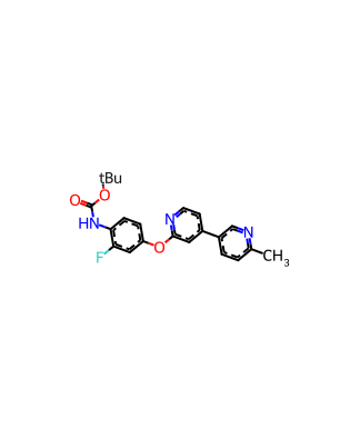 Cc1ccc(-c2ccnc(Oc3ccc(NC(=O)OC(C)(C)C)c(F)c3)c2)cn1